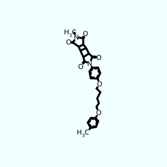 Cc1ccc(OCCCCCOc2ccc(N3C(=O)C4C(C3=O)C3C5C(=O)N(C)C(=O)C5C43)cc2)cc1